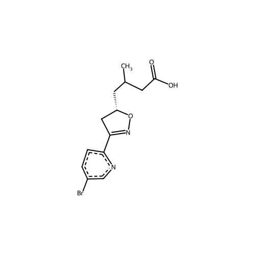 CC(CC(=O)O)C[C@H]1CC(c2ccc(Br)cn2)=NO1